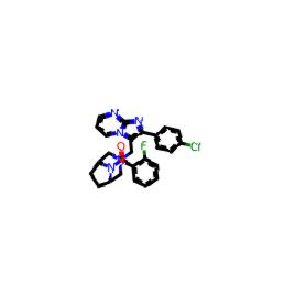 O=C(c1ccccc1F)N1C2CCC1CN(Cc1c(-c3ccc(Cl)cc3)nc3ncccn13)C2